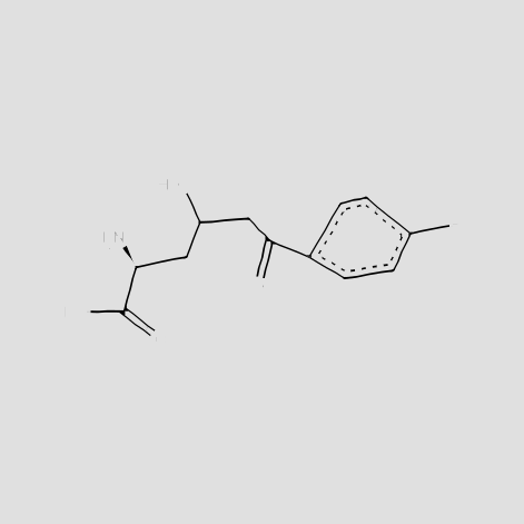 CC(CC(=O)c1ccc(F)cc1)C[C@H](N)C(=O)O